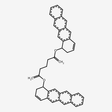 C=C(CCCC(=C)OC1CC=Cc2cc3cc4ccccc4cc3cc21)OC1CC=Cc2cc3cc4ccccc4cc3cc21